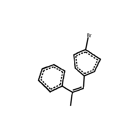 CC(=Cc1ccc(Br)cc1)c1ccccc1